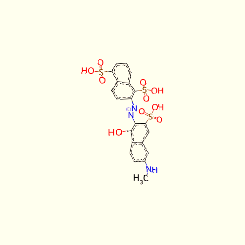 CNc1ccc2c(O)c(/N=N/c3ccc4c(S(=O)(=O)O)cccc4c3S(=O)(=O)O)c(S(=O)(=O)O)cc2c1